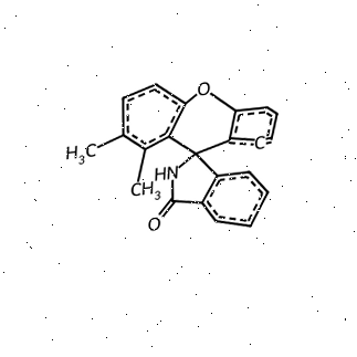 Cc1ccc2c(c1C)C1(NC(=O)c3ccccc31)c1ccccc1O2